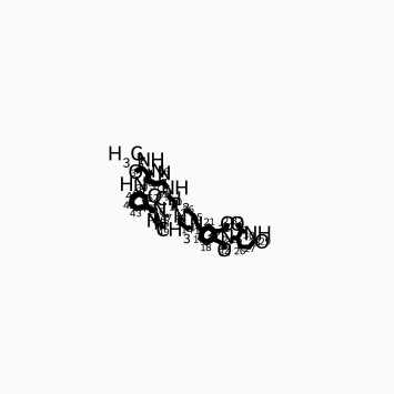 CNC(=O)c1nnc(NCCCN2CCN(c3ccc4c(c3)C(=O)N(C3CCC(=O)NC3=O)C4=O)CC2)cc1Nc1cccc(-c2ncn(C)n2)c1OC